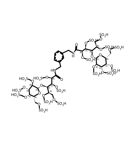 O=C(NCc1cccc(CNC(=O)[C@H](OS(=O)(=O)O)[C@@H](OS(=O)(=O)O)[C@H](O[C@@H]2O[C@H](COS(=O)(=O)O)[C@H](OS(=O)(=O)O)[C@H](OS(=O)(=O)O)[C@H]2OS(=O)(=O)O)[C@@H](COS(=O)(=O)O)OS(=O)(=O)O)c1)[C@H](OS(=O)(=O)O)[C@@H](OS(=O)(=O)O)[C@H](O[C@@H]1O[C@H](COS(=O)(=O)O)[C@H](OS(=O)(=O)O)[C@H](OS(=O)(=O)O)[C@H]1OS(=O)(=O)O)[C@@H](COS(=O)(=O)O)OS(=O)(=O)O